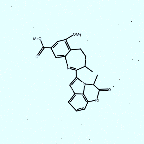 COC(=O)c1cc2c(c(OC)c1)CCC(C)C(c1cc3cccc4c3n1C(C)C(=O)N4)=N2